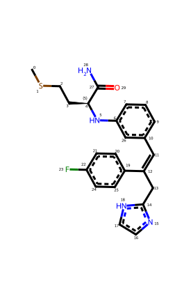 CSCC[C@H](Nc1cccc(C=C(Cc2ncc[nH]2)c2ccc(F)cc2)c1)C(N)=O